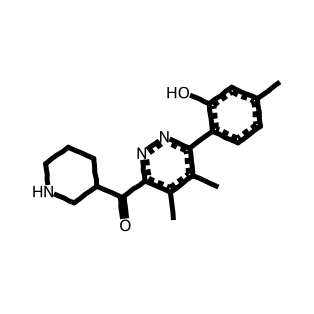 Cc1ccc(-c2nnc(C(=O)C3CCCNC3)c(C)c2C)c(O)c1